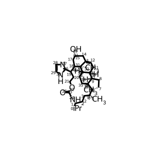 CC(C)CCC[C@@H](C)[C@H]1CC[C@H]2[C@@H]3CC=C4C[C@@H](O)CC(C(CCOC(N)=O)c5ncc[nH]5)[C@]4(C)[C@H]3CC[C@]12C